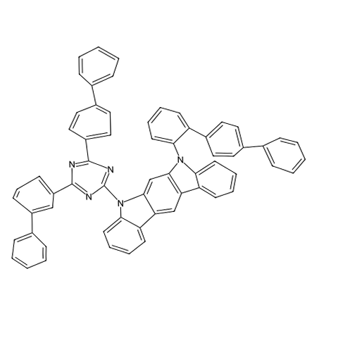 c1ccc(-c2ccc(-c3nc(-c4cccc(-c5ccccc5)c4)nc(-n4c5ccccc5c5cc6c7ccccc7n(-c7ccccc7-c7ccc(-c8ccccc8)cc7)c6cc54)n3)cc2)cc1